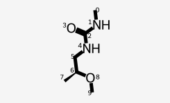 CNC(=O)NC[C@H](C)OC